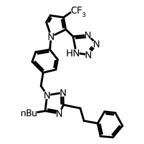 CCCCc1nc(CCc2ccccc2)nn1Cc1ccc(-n2ccc(C(F)(F)F)c2-c2nnn[nH]2)cc1